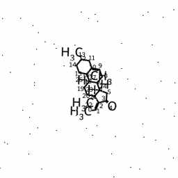 C/C=C1/C(=O)C[C@H]2[C@@H]3CC=C4C[C@@H](C)CC[C@]4(C)[C@H]3CC[C@]12C